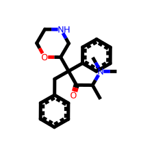 CC(C(=O)C(Cc1ccccc1)(c1ccccc1)C1CNCCO1)N(C)C